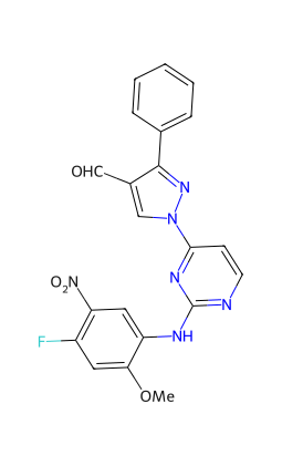 COc1cc(F)c([N+](=O)[O-])cc1Nc1nccc(-n2cc(C=O)c(-c3ccccc3)n2)n1